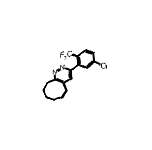 FC(F)(F)c1ccc(Cl)cc1-c1cc2c(nn1)CCCCCC2